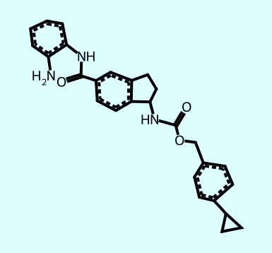 Nc1ccccc1NC(=O)c1ccc2c(c1)CCC2NC(=O)OCc1ccc(C2CC2)cc1